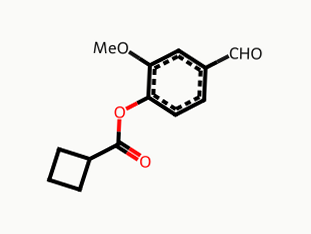 COc1cc(C=O)ccc1OC(=O)C1CCC1